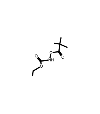 CCOC(=O)NOC(=O)C(C)(C)C